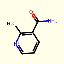 CC1=C(C(N)=O)C=CC=[N+]1